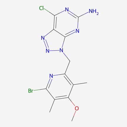 COc1c(C)c(Br)nc(Cn2nnc3c(Cl)nc(N)nc32)c1C